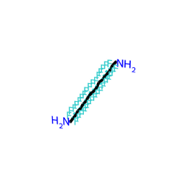 NCC(F)(F)C(F)(F)C(F)(F)C(F)(F)C(F)(F)C(F)(F)C(F)(F)C(F)(F)C(F)(F)C(F)(F)C(F)(F)C(F)(F)C(F)(F)C(F)(F)C(F)(F)C(F)(F)CN